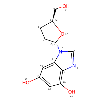 OC[C@@H]1CC[C@@H](n2cnc3c(O)cc(O)cc32)O1